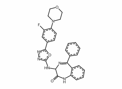 O=C1Nc2ccccc2C(c2ccccc2)=NC1Nc1nnc(-c2ccc(N3CCOCC3)c(F)c2)o1